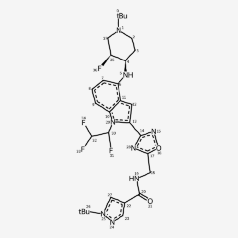 CC(C)(C)N1CC[C@@H](Nc2cccc3c2cc(-c2noc(CNC(=O)c4cnn(C(C)(C)C)c4)n2)n3C(F)C(F)F)[C@@H](F)C1